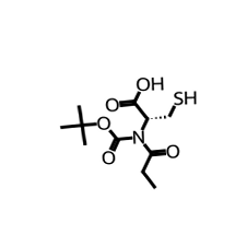 CCC(=O)N(C(=O)OC(C)(C)C)[C@@H](CS)C(=O)O